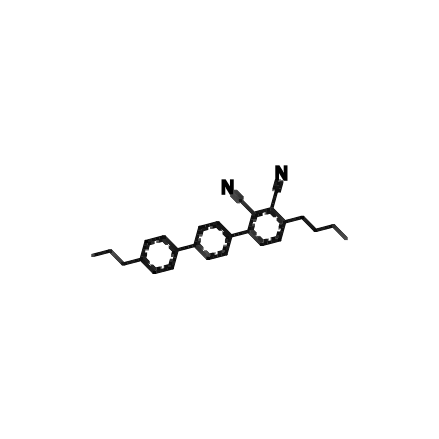 CCCCc1ccc(-c2ccc(-c3ccc(CCC)cc3)cc2)c(C#N)c1C#N